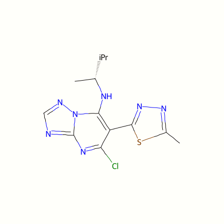 Cc1nnc(-c2c(Cl)nc3ncnn3c2N[C@H](C)C(C)C)s1